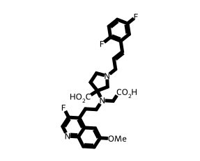 COc1ccc2ncc(F)c(CCN(CC(=O)O)C3(C(=O)O)CCN(CC=Cc4cc(F)ccc4F)C3)c2c1